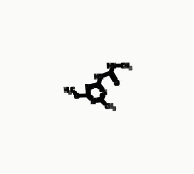 CNC(=O)Nc1nc(C)nc(OC)n1